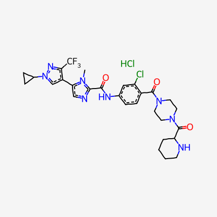 Cl.Cn1c(-c2cn(C3CC3)nc2C(F)(F)F)cnc1C(=O)Nc1ccc(C(=O)N2CCN(C(=O)C3CCCCN3)CC2)c(Cl)c1